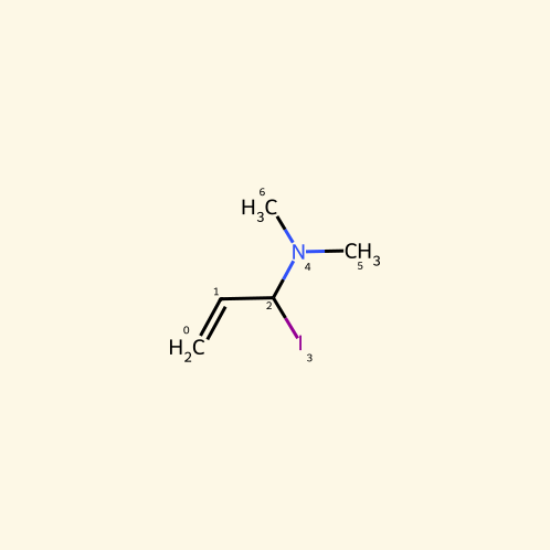 C=CC(I)N(C)C